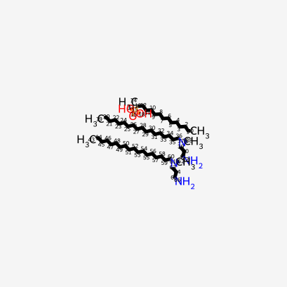 CCCCCCCCCCCCCC(C)P(=O)(O)O.CCCCCCCCCCCCCCCCCCN(C)CCCN.CCCCCCCCCCCCCCCCCCN(C)CCCN